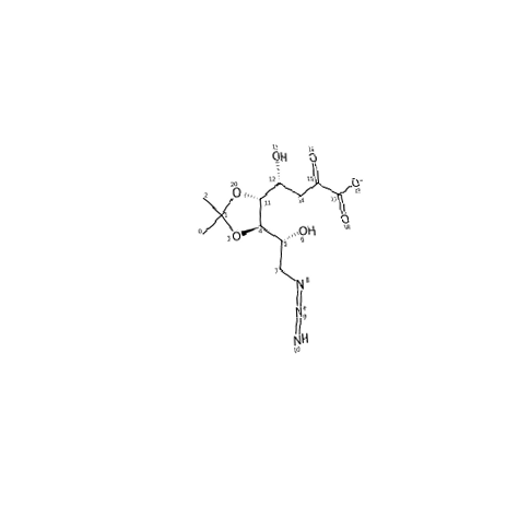 CC1(C)O[C@H]([C@H](O)CN=[N+]=N)[C@@H]([C@H](O)CC(=O)C(=O)[O-])O1